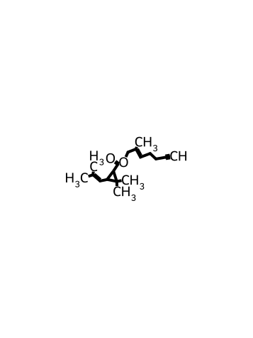 C#CCCC=C(C)COC(=O)C1C(C=C(C)C)C1(C)C